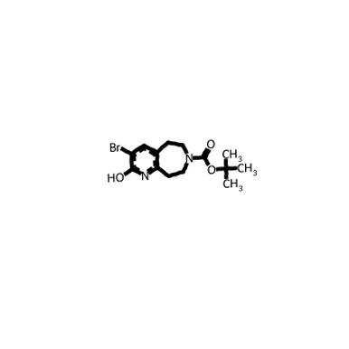 CC(C)(C)OC(=O)N1CCc2cc(Br)c(O)nc2CC1